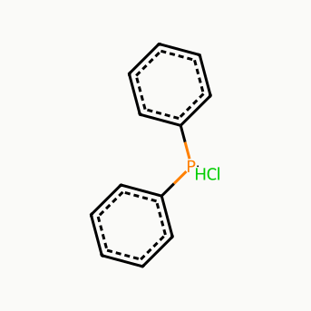 Cl.c1ccc([P]c2ccccc2)cc1